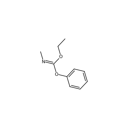 CCOC(=NC)Oc1ccccc1